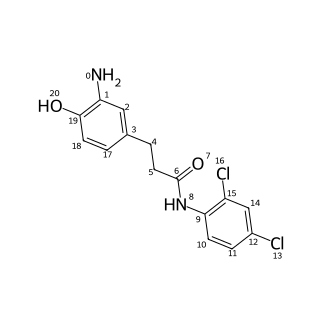 Nc1cc(CCC(=O)Nc2ccc(Cl)cc2Cl)ccc1O